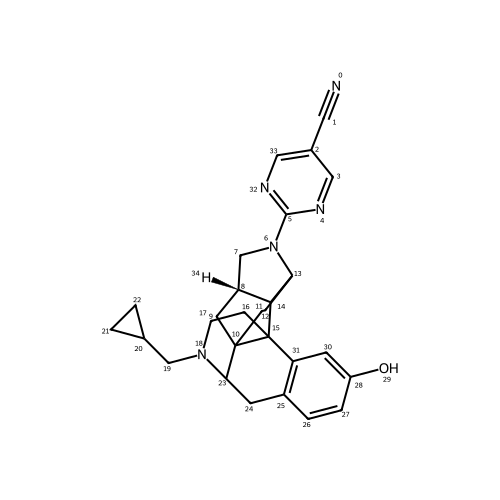 N#Cc1cnc(N2C[C@H]3CC45CCC2C3C42CCN(CC3CC3)C5Cc3ccc(O)cc32)nc1